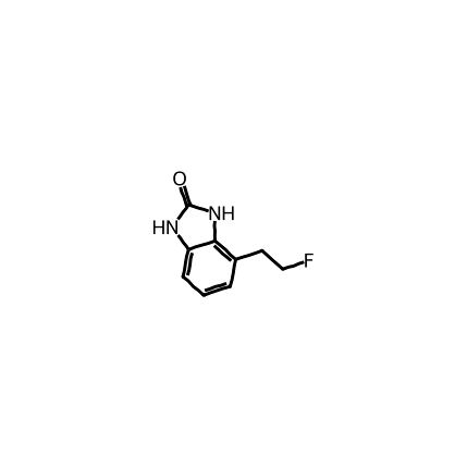 O=c1[nH]c2cccc(CCF)c2[nH]1